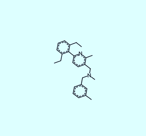 CCc1cccc(CC)c1-c1ccc(CN(C)Cc2cccc(C)c2)c(C)n1